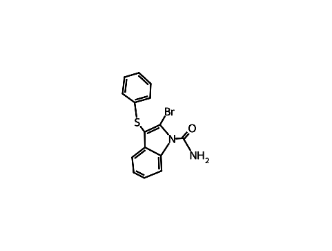 NC(=O)n1c(Br)c(Sc2ccccc2)c2ccccc21